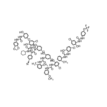 COc1cccc(NC(=O)Nc2cc(Cl)ccc2O)c1.Cc1cccc(C)c1NC(=O)Nc1cc(Cl)ccc1O.Cc1ccccc1NC(=O)Nc1cc(Cl)ccc1O.N#Cc1ccc(NC(=O)Nc2cc(Cl)ccc2O)cc1.O=C(Nc1cc(Cl)ccc1O)NC1CCCCC1.O=C(Nc1ccc(OC(F)(F)F)cc1)Nc1cc(Cl)ccc1O.O=C(Nc1ccc2c(c1)OCO2)Nc1cc(Cl)ccc1O